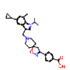 Cc1cc(C2CC2)cc2c(CN3CCC4(CC3)CC(c3ccc(C(=O)O)cc3)=NO4)cn(C(C)C)c12